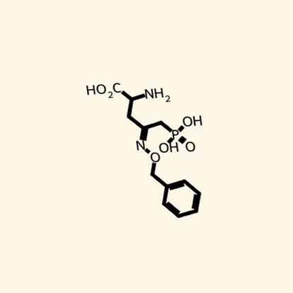 NC(CC(CP(=O)(O)O)=NOCc1ccccc1)C(=O)O